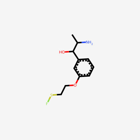 CC(N)C(O)c1cccc(OCCSF)c1